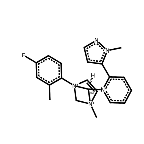 Cc1cc(F)ccc1[N+]12C=C[N+](C)(C1)[C@@H]2[n+]1ccccc1-c1ccnn1C